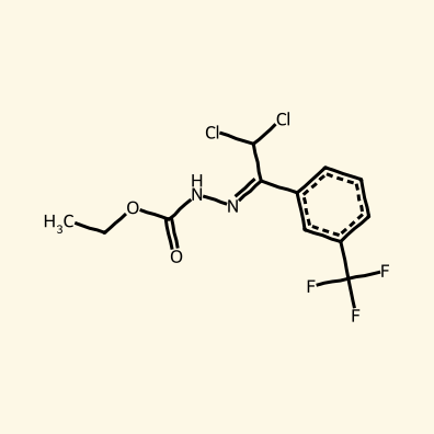 CCOC(=O)NN=C(c1cccc(C(F)(F)F)c1)C(Cl)Cl